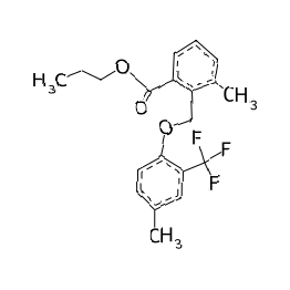 CCCOC(=O)c1cccc(C)c1COc1ccc(C)cc1C(F)(F)F